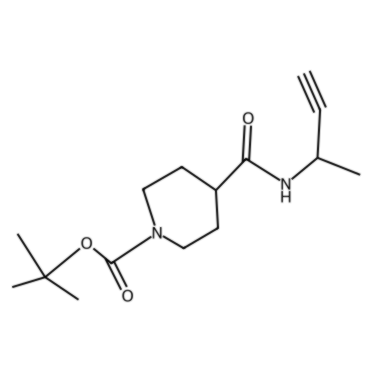 C#CC(C)NC(=O)C1CCN(C(=O)OC(C)(C)C)CC1